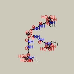 CC(=O)N[C@H]1[C@H](OCCCCC(=O)NCCCNC(=O)CCOC[C@H]2OCC[C@@H](OCCC(=O)NCCCNC(=O)CCCCO[C@@H]3O[C@H](CO)[C@H](O)[C@H](O)[C@H]3NC(C)=O)[C@@H]2OCCC(=O)NCCCNC(=O)CCCCO[C@@H]2O[C@H](CO)[C@H](O)[C@H](O)[C@H]2NC(C)=O)O[C@H](CO)[C@H](O)[C@@H]1O